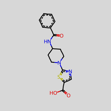 O=C(NC1CCN(c2ncc(C(=O)O)s2)CC1)c1ccccc1